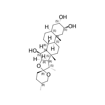 C[C@@H]1CC[C@@]2(OC1)O[C@H]1[C@@H](O)[C@H]3[C@@H]4CC[C@H]5C[C@H](O)[C@@H](O)C[C@]5(C)[C@H]4CC[C@]3(C)[C@H]1[C@@H]2C